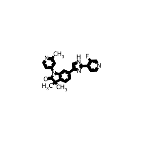 Cc1cc(N2C(=O)C(C)(C)c3ccc(-c4c[nH]c(-c5ccncc5F)n4)cc32)ccn1